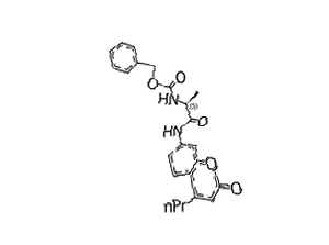 CCCc1cc(=O)oc2cc(NC(=O)[C@H](C)NC(=O)OCc3ccccc3)ccc12